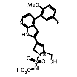 COc1ccc(F)cc1-c1ccnc2[nH]c(C3=C[C@@H](CO)N(S(=O)(=O)NC(=O)O)C3)cc12